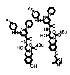 CC(=O)N1CCC(Nc2cc(C(=O)NC[C@@H](O)[C@@H]3Cc4ccc(O)cc4CN3C(=O)OC(C)(C)C)cc(N3CCCCC3)n2)CC1.CC(=O)N1CCC(Nc2cc(C(=O)NC[C@@H](O)[C@@H]3Cc4ccc(OCc5ocnc5C)cc4CN3C(=O)OC(C)(C)C)cc(N3CCCCC3)n2)CC1